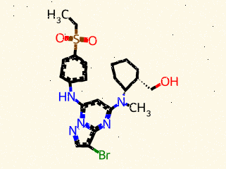 CCS(=O)(=O)c1ccc(Nc2cc(N(C)[C@@H]3CCCC[C@@H]3CO)nc3c(Br)cnn23)cc1